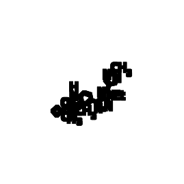 CCn1c(-c2cnc(C)nc2)nc2c(-c3ccc4c(c3)[C@@](C)(NCC3(C)CCC3)C(=O)N4)ncnc21